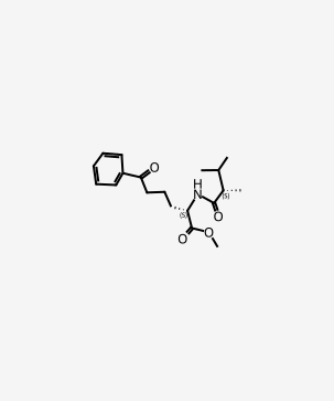 COC(=O)[C@H](CCCC(=O)c1ccccc1)NC(=O)[C@@H](C)C(C)C